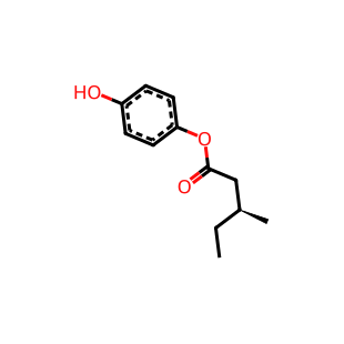 CC[C@H](C)CC(=O)Oc1ccc(O)cc1